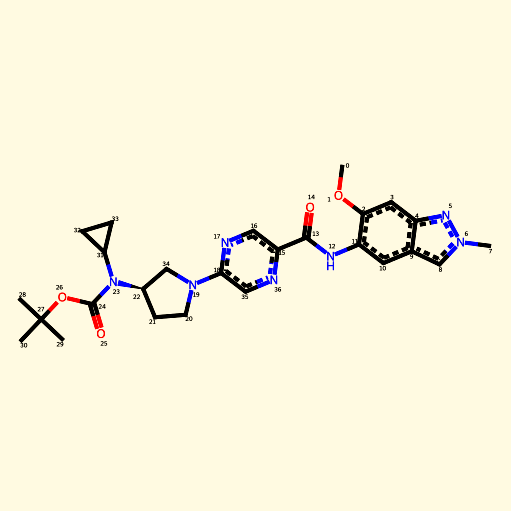 COc1cc2nn(C)cc2cc1NC(=O)c1cnc(N2CC[C@@H](N(C(=O)OC(C)(C)C)C3CC3)C2)cn1